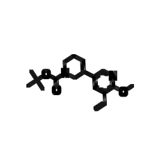 C=Cc1cc(C2=CCCN(C(=O)OC(C)(C)C)C2)cnc1OC